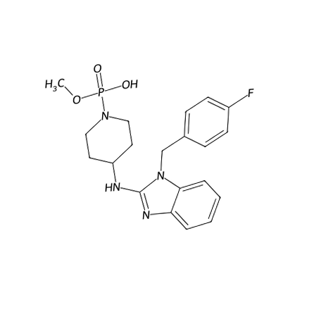 COP(=O)(O)N1CCC(Nc2nc3ccccc3n2Cc2ccc(F)cc2)CC1